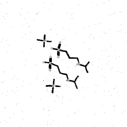 CC(C)NCCCS(=O)(=O)[O-].CC(C)NCCCS(=O)(=O)[O-].C[N+](C)(C)C.C[N+](C)(C)C